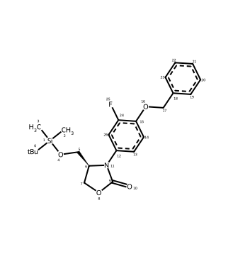 CC(C)(C)[Si](C)(C)OC[C@@H]1COC(=O)N1c1ccc(OCc2ccccc2)c(F)c1